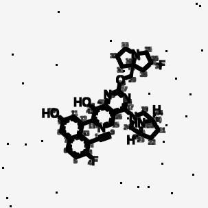 C#Cc1c(F)ccc2cc(O)cc(-c3ncc4c(N5C[C@H]6CC[C@@H](C5)N6)nc(OC[C@@]56CCCN5C[C@H](F)C6)nc4c3O)c12